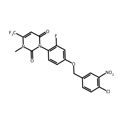 Cn1c(C(F)(F)F)cc(=O)n(-c2ccc(OCc3ccc(Cl)c([N+](=O)[O-])c3)cc2F)c1=O